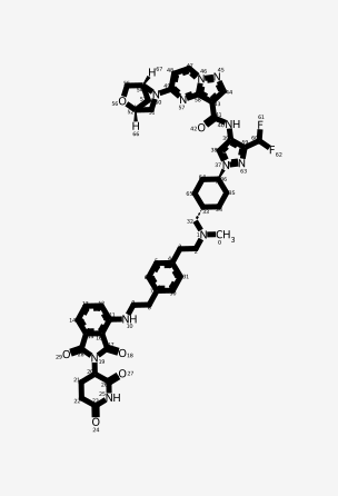 CN(CCc1ccc(CCNc2cccc3c2C(=O)N(C2CCC(=O)NC2=O)C3=O)cc1)C[C@H]1CC[C@H](n2cc(NC(=O)c3cnn4ccc(N5C[C@H]6C[C@@H]5CO6)nc34)c(C(F)F)n2)CC1